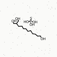 OCCCCCCCCCCC(CO)CO.OP(O)(O)=S